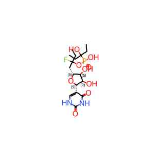 CCC(F)(C[C@H]1O[C@@H](c2c[nH]c(=O)[nH]c2=O)[C@H](O)[C@@H]1O)OP(=O)(O)C(O)(CC)CC